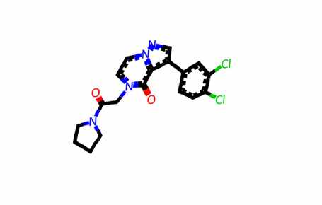 O=C(Cn1ccn2ncc(-c3ccc(Cl)c(Cl)c3)c2c1=O)N1CCCC1